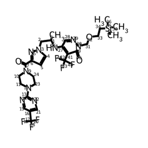 CC(Cn1ccc(C(=O)N2CCN(c3ncc(C(F)(F)F)cn3)CC2)n1)Nc1cnn(COCC[Si](C)(C)C)c(=O)c1C(F)(F)F